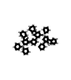 c1ccc(-c2cc(N(c3ccccc3)c3cc(-c4cccc(-c5cc(N(c6ccccc6)c6ccccc6)cc6c5sc5ccccc56)c4)c4sc5ccccc5c4c3)cc3c2oc2ccccc23)cc1